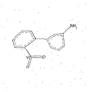 Nc1cccc(-c2ccccc2[SH](=O)=O)c1